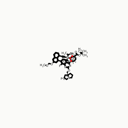 COCOc1cc(-c2c(F)cc3c(N4C[C@H]5CCC4CN5C(=O)OC(C)(C)C)nc(OC[C@@]45CCCN4C[C@H](F)C5)nc3c2F)c2c(C#C[Si](C(C)C)(C(C)C)C(C)C)cccc2c1